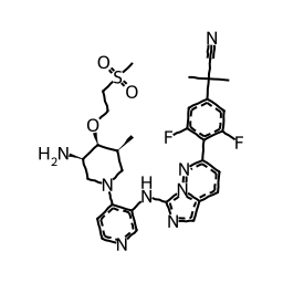 C[C@H]1CN(c2ccncc2Nc2ncc3ccc(-c4c(F)cc(C(C)(C)C#N)cc4F)nn23)C[C@@H](N)[C@H]1OCCS(C)(=O)=O